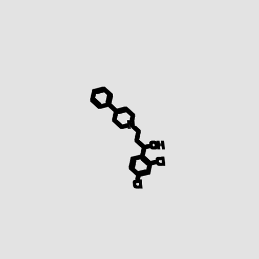 OC(CCN1CC=C(c2ccccc2)CC1)c1ccc(Cl)cc1Cl